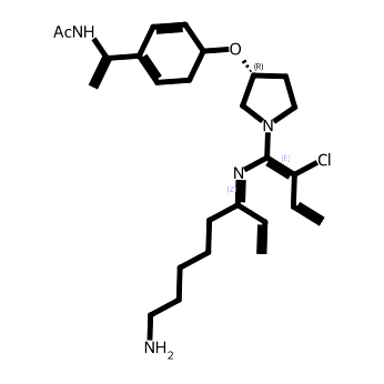 C=C/C(CCCCCN)=N\C(=C(\Cl)C=C)N1CC[C@@H](OC2C=CC(C(=C)NC(C)=O)=CC2)C1